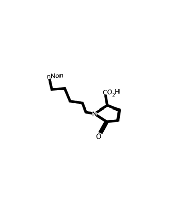 CCCCCCCCCCCCCCN1C(=O)CCC1C(=O)O